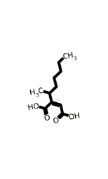 CCCCCC(C)/C(=C/C(=O)O)C(=O)O